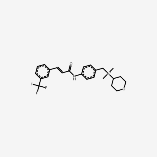 C[N+](C)(Cc1ccc(NC(=O)/C=C/c2cccc(C(F)(F)F)c2)cc1)C1CCOCC1